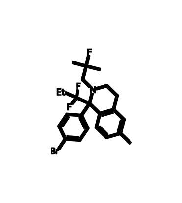 CCC(F)(F)C1(c2ccc(Br)cc2)c2ccc(C)cc2CCN1CC(C)(C)F